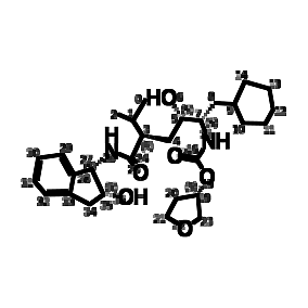 CC(C)[C@@H](C[C@H](O)[C@H](CC1CCCCC1)NC(=O)O[C@H]1CCOC1)C(=O)N[C@H]1c2ccccc2C[C@H]1O